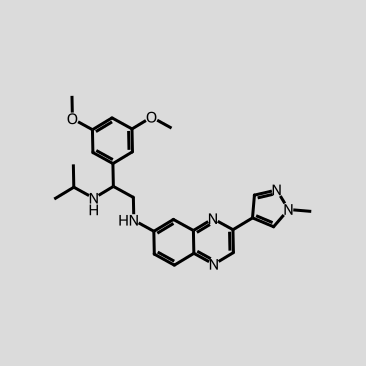 COc1cc(OC)cc(C(CNc2ccc3ncc(-c4cnn(C)c4)nc3c2)NC(C)C)c1